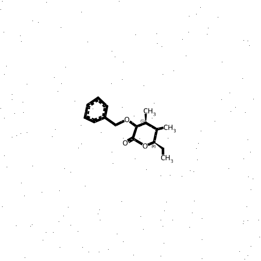 CC[C@H]1OC(=O)C(OCc2ccccc2)[C@@H](C)C1C